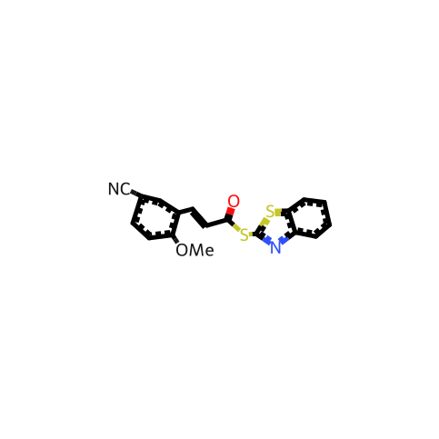 COc1ccc(C#N)cc1C=CC(=O)Sc1nc2ccccc2s1